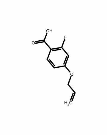 C=CCOc1ccc(C(=O)O)c(F)c1